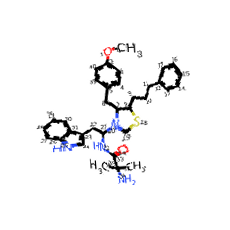 COc1ccc(CC2C(CCCc3ccccc3)SCN2C(Cc2c[nH]c3ccccc23)NC(=O)C(C)(C)N)cc1